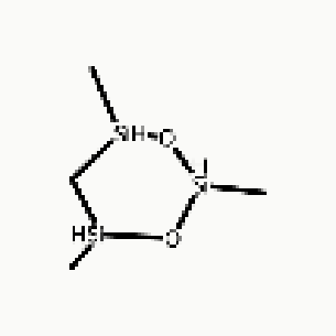 C[SiH]1C[SiH](C)O[SiH](C)O1